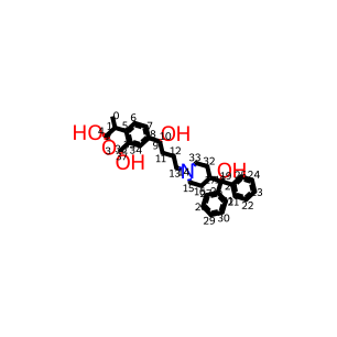 CC(C(=O)O)c1ccc(C(O)CCCN2CCC(C(O)(c3ccccc3)c3ccccc3)CC2)cc1CO